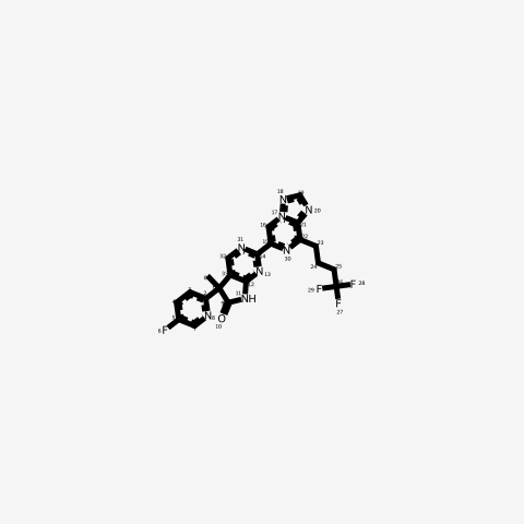 CC1(c2ccc(F)cn2)C(=O)Nc2nc(-c3cn4ncnc4c(CCCC(F)(F)F)n3)ncc21